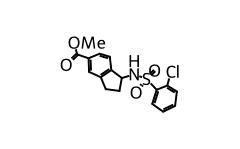 COC(=O)c1ccc2c(c1)CCC2NS(=O)(=O)c1ccccc1Cl